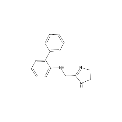 c1ccc(-c2ccccc2NCC2=NCCN2)cc1